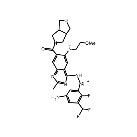 COCCNc1cc2c(N[C@H](C)c3cc(N)cc(C(F)F)c3F)nc(C)nc2cc1C(=O)N1CC2COCC2C1